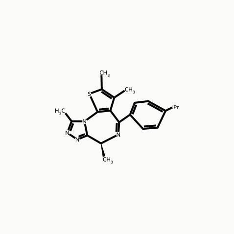 Cc1sc2c(c1C)C(c1ccc(C(C)C)cc1)=N[C@@H](C)c1nnc(C)n1-2